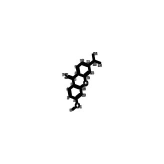 COc1ccc2c(=S)c3ccc(C(C)C)cc3oc2c1